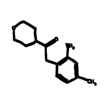 Cc1ccc(CC(=O)C2CCOCC2)c(N)c1